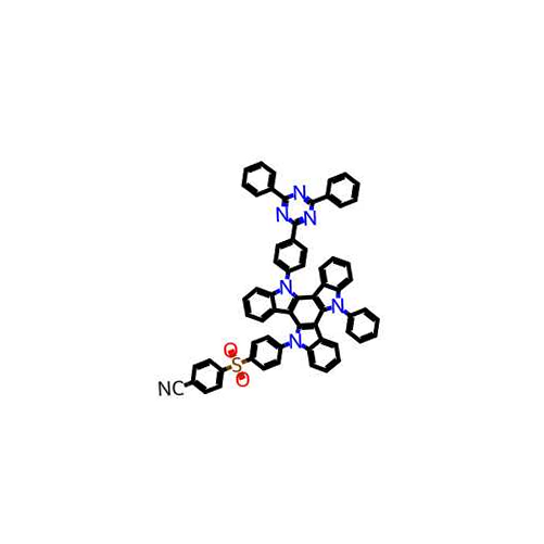 N#Cc1ccc(S(=O)(=O)c2ccc(-n3c4ccccc4c4c5c(c6ccccc6n5-c5ccccc5)c5c(c6ccccc6n5-c5ccc(-c6nc(-c7ccccc7)nc(-c7ccccc7)n6)cc5)c43)cc2)cc1